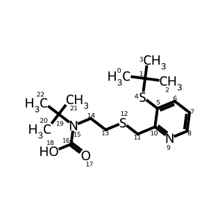 CC(C)(C)Sc1cccnc1CSCCN(C(=O)O)C(C)(C)C